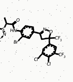 CC(C(=O)Nc1ccc(C2=NOC(c3cc(Cl)c(Cl)c(C(F)(F)F)c3)(C(F)(F)F)C2)cc1Br)S(C)=NC#N